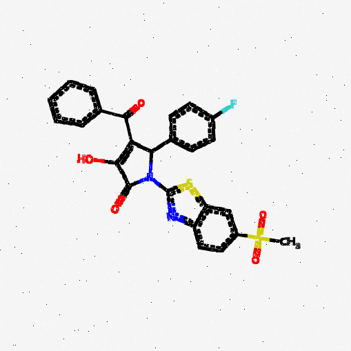 CS(=O)(=O)c1ccc2nc(N3C(=O)C(O)=C(C(=O)c4ccccc4)C3c3ccc(F)cc3)sc2c1